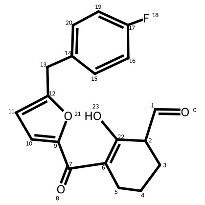 O=CC1CCCC(C(=O)c2ccc(Cc3ccc(F)cc3)o2)=C1O